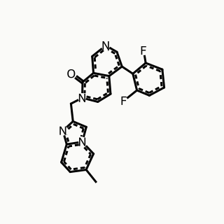 Cc1ccc2nc(Cn3ccc4c(-c5c(F)cccc5F)cncc4c3=O)cn2c1